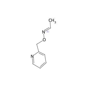 C/C=N/OCc1ccccn1